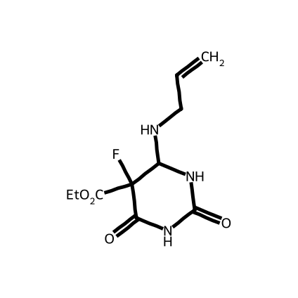 C=CCNC1NC(=O)NC(=O)C1(F)C(=O)OCC